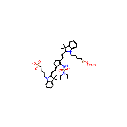 CCN(CC)S(=O)(=O)NC1=C(/C=C/C2=[N+](CCCCSOOO)c3ccccc3C2(C)C)CC/C1=C\C=C1\N(CCCCS(=O)(=O)O)c2ccccc2C1(C)C